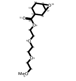 COCCOCCOCCOC(=O)C1CCC2OC2C1